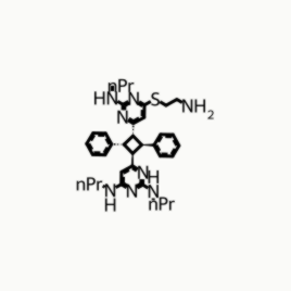 CCCNc1cc([C@H]2[C@H](c3ccccc3)[C@H](c3cc(SCCN)nc(NCCC)n3)[C@H]2c2ccccc2)nc(NCCC)n1